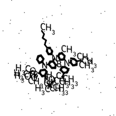 CCCCCCc1ccc(N2c3cc(N(c4ccccc4)c4cc(B5OC(C)(C)C(C)(C)O5)cc(B5OC(C)(C)C(C)(C)O5)c4)ccc3B3c4cc(C(C)(C)C)ccc4N(c4ccc(C(C)(C)C)cc4)c4cc(C)cc2c43)cc1